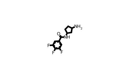 NC1CCC(NC(=O)c2cc(F)c(F)c(F)c2)C1